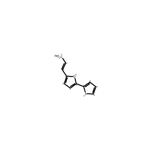 O=C(O)C=Cc1ccc(-c2cccs2)o1